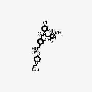 Cc1cc(CNC(=O)OC2CCN(CCC(C)(C)C)CC2)ccc1C(=O)N1Cc2cnn(C)c2Nc2cc(Cl)ccc21